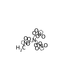 C=C1CCC(=O)N1OC(=O)CN(CC(=O)ON1C(=O)CCC1=O)CC(=O)ON1C(=O)CCC1=O